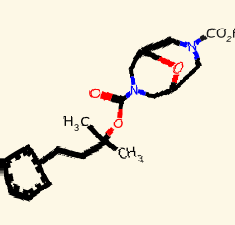 CC(C)(CCc1ccccc1)OC(=O)N1CC2CN(C(=O)O)CC(C1)O2